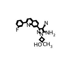 C[C@]1(O)C[C@@H](n2nc(-c3ccc4ccc(-c5cccc(F)c5)nc4c3)c(C#N)c2N)C1